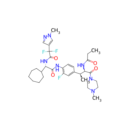 CCC(=O)N[C@@H](C(=O)N1CCN(C)CC1)[C@@H](C)c1ccc(NC(=O)[C@@H](NC(=O)C(F)(F)c2cnn(C)c2)C2CCCCCC2)c(F)c1